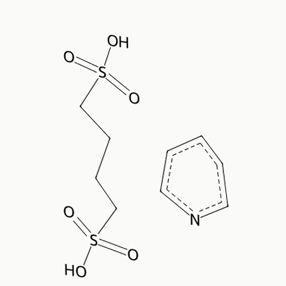 O=S(=O)(O)CCCCS(=O)(=O)O.c1ccncc1